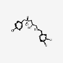 O=P(O)(Cc1ccc(Cl)cc1)C[C@H](O)CNCc1ccc(Cl)c(Cl)c1